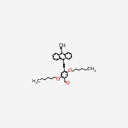 C#Cc1c2ccccc2c(C#Cc2cc(OCCCCCC)c(C=O)cc2OCCCCCC)c2ccccc12